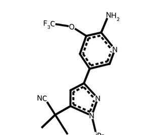 CC(C)n1nc(-c2cnc(N)c(OC(F)(F)F)c2)cc1C(C)(C)C#N